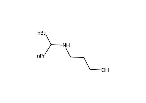 CCCCC(CCC)NCCCO